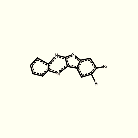 Brc1cc2sc3nc4ccccc4nc3c2cc1Br